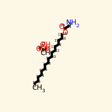 CCCCCCCCCCCCCCCCCCOC(=O)CN.CS(=O)(=O)O